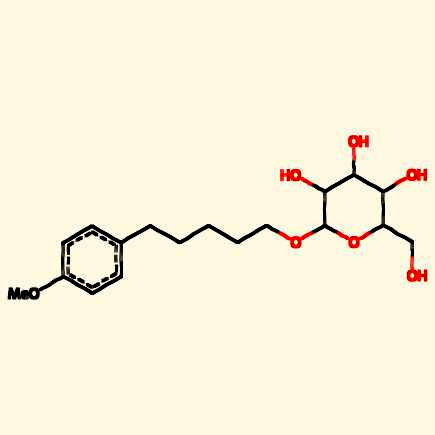 COc1ccc(CCCCCOC2OC(CO)C(O)C(O)C2O)cc1